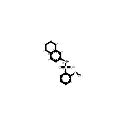 CCOc1ccccc1S(=O)(=O)Nc1ccc2c(c1)[CH]CCC2